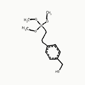 CO[Si](CCc1ccc(CS)cc1)(OC)OC